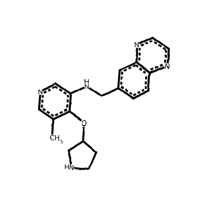 Cc1cncc(NCc2ccc3nccnc3c2)c1OC1CCNC1